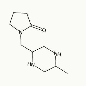 CC1CNC(CN2CCCC2=O)CN1